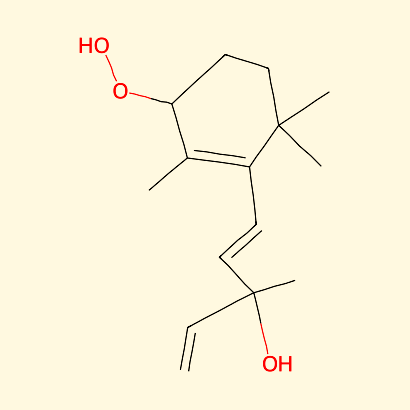 C=CC(C)(O)/C=C/C1=C(C)C(OO)CCC1(C)C